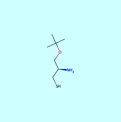 CC(C)(C)OC[C@@H](N)CS